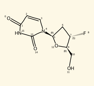 O=c1ccn([C@H]2C[C@H](F)[C@@H](CO)O2)c(=O)[nH]1